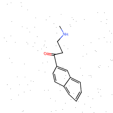 CNCCC(=O)c1ccc2ccccc2c1